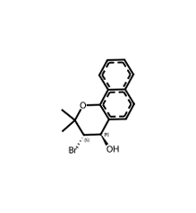 CC1(C)Oc2c(ccc3ccccc23)[C@@H](O)[C@@H]1Br